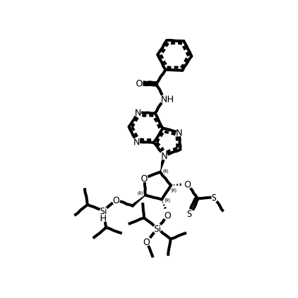 CO[Si](O[C@H]1[C@@H](OC(=S)SC)[C@H](n2cnc3c(NC(=O)c4ccccc4)ncnc32)O[C@@H]1CO[SiH](C(C)C)C(C)C)(C(C)C)C(C)C